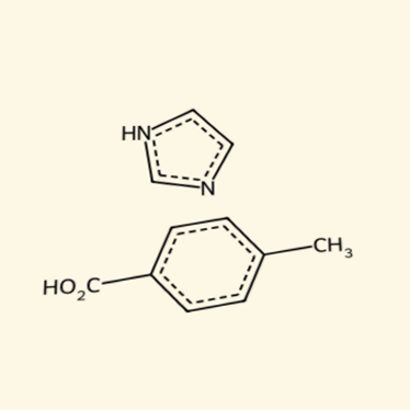 Cc1ccc(C(=O)O)cc1.c1c[nH]cn1